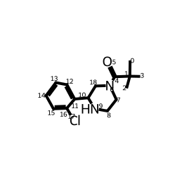 CC(C)(C)C(=O)N1CCNC(c2ccccc2Cl)C1